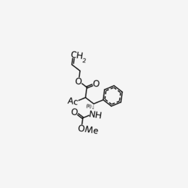 C=CCOC(=O)C(C(C)=O)[C@@H](NC(=O)OC)c1ccccc1